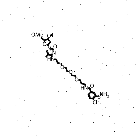 COCC1OC(n2cc(C)c(NCCCOCCOCCOCCCNC(=O)c3ccc(Cl)c(SN)c3)nc2=O)CC1OI